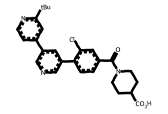 CC(C)(C)c1cc(-c2cncc(-c3ccc(C(=O)N4CCC(C(=O)O)CC4)cc3Cl)c2)ccn1